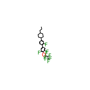 CCCC1CCC(c2ccc(-c3cc(F)c(OC(F)(F)C(F)C(F)(F)F)c(F)c3)c(F)c2)CC1